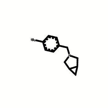 CC(C)(C)c1ccc(CN2CC3CC3C2)cc1